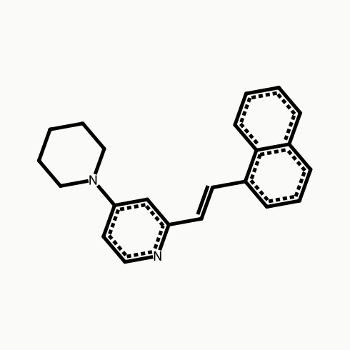 C(=C\c1cccc2ccccc12)/c1cc(N2CCCCC2)ccn1